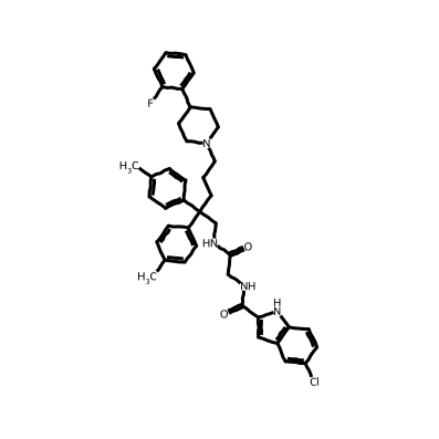 Cc1ccc(C(CCCN2CCC(c3ccccc3F)CC2)(CNC(=O)CNC(=O)c2cc3cc(Cl)ccc3[nH]2)c2ccc(C)cc2)cc1